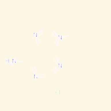 Nc1nc(Cl)nc2c1ncn2C1C=CCCC1